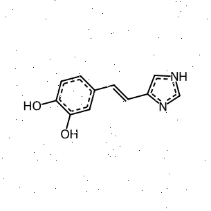 Oc1ccc(C=Cc2c[nH]cn2)cc1O